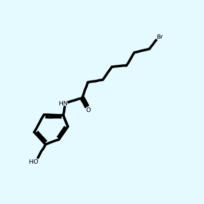 O=C(CCCCCCBr)Nc1ccc(O)cc1